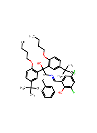 CCCCOc1ccc(C(C)(C)C)cc1C(O)(c1cc(C(C)(C)C)ccc1OCCCC)[C@@H](Cc1ccccc1)N=Cc1cc(Cl)cc(Cl)c1O